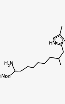 CCCCCCCCCC(N)CCCCCCC(C)Cc1nc(C)c[nH]1